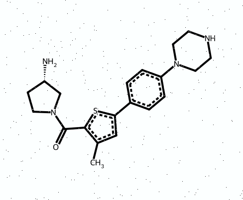 Cc1cc(-c2ccc(N3CCNCC3)cc2)sc1C(=O)N1CC[C@H](N)C1